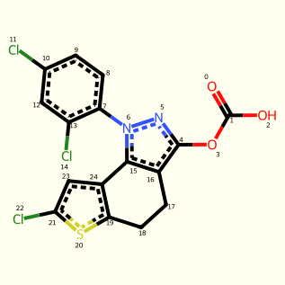 O=C(O)Oc1nn(-c2ccc(Cl)cc2Cl)c2c1CCc1sc(Cl)cc1-2